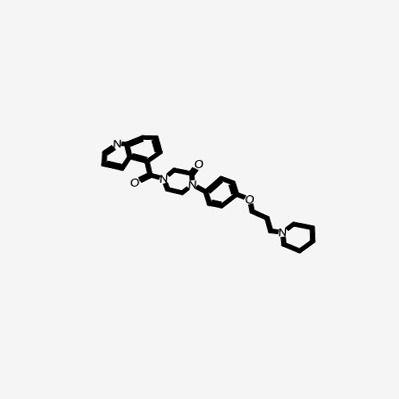 O=C(c1cccc2ncccc12)N1CCN(c2ccc(OCCCN3CCCCC3)cc2)C(=O)C1